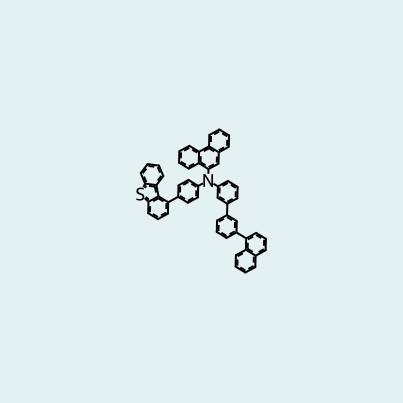 c1cc(-c2cccc(N(c3ccc(-c4cccc5sc6ccccc6c45)cc3)c3cc4ccccc4c4ccccc34)c2)cc(-c2cccc3ccccc23)c1